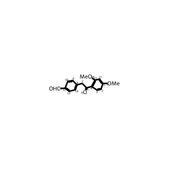 COc1ccc(C(=O)Cc2ccc(C=O)cc2)c(OC)c1